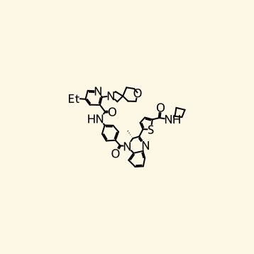 CCc1cnc(N2CC3(CCOCC3)C2)c(C(=O)Nc2ccc(C(=O)N3c4ccccc4N=C(c4ccc(C(=O)NC5CCC5)s4)[C@H]3C)cc2)c1